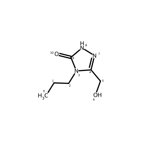 CCCn1c(CO)n[nH]c1=O